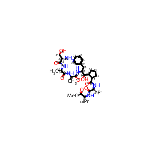 COC(=O)[C@@H](NC(=O)[C@@H](NC(=O)C1CCCC1C(O)C(Cc1ccccc1)NC(=O)[C@H](C)NC(=O)[C@H](C)NC(=O)[C@@H](N)CO)C(C)C)C(C)C